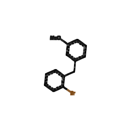 COc1cccc(Cc2ccccc2Br)c1